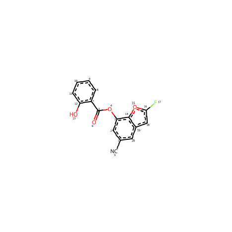 N#Cc1cc(OC(=O)c2ccccc2O)c2oc(F)cc2c1